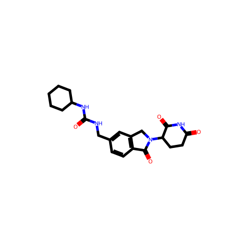 O=C1CCC(N2Cc3cc(CNC(=O)NC4CCCCC4)ccc3C2=O)C(=O)N1